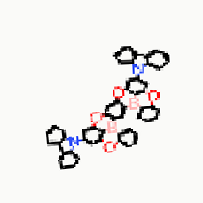 c1ccc2c(c1)Oc1cc(-n3c4ccccc4c4ccccc43)cc3c1B2c1cc2c(cc1O3)Oc1cc(-n3c4ccccc4c4ccccc43)cc3c1B2c1ccccc1O3